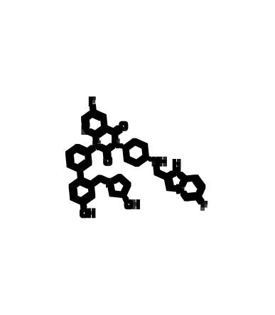 O=c1c2cc(F)cnc2n(-c2cccc(-c3ccc(O)cc3CN3CC[C@@H](O)C3)c2)c(=O)n1[C@H]1CC[C@@H](NCC2=CN3C=C(F)C=CC3N2)CC1